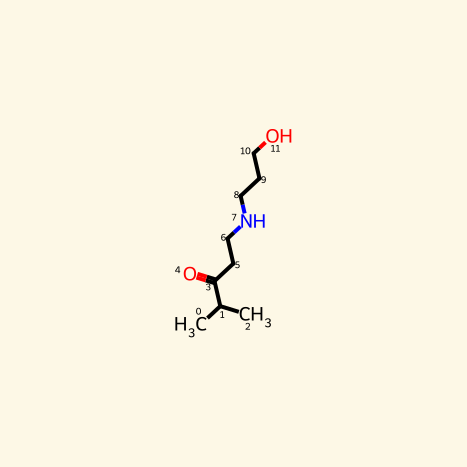 CC(C)C(=O)CCNCCCO